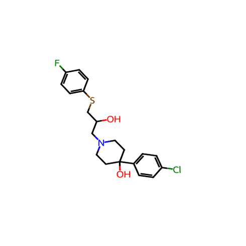 OC(CSc1ccc(F)cc1)CN1CCC(O)(c2ccc(Cl)cc2)CC1